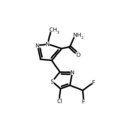 Cn1ncc(-c2nc(C(F)F)c(Cl)s2)c1C(N)=O